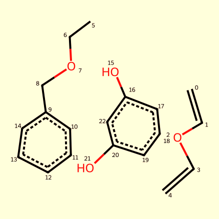 C=COC=C.CCOCc1ccccc1.Oc1cccc(O)c1